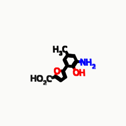 Cc1cc(N)c(O)c(-c2ccc(C(=O)O)o2)c1